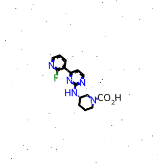 O=C(O)N1CCC[C@H](Nc2nccc(-c3cccnc3F)n2)C1